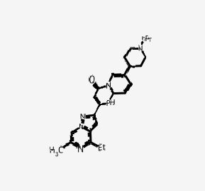 CCCN1CCC(C2=CN3C(=O)C=C(c4cc5c(CC)nc(C)cn5n4)PC3C=C2)CC1